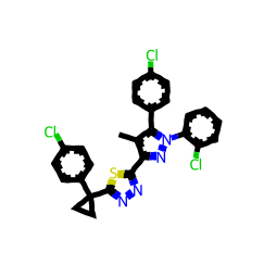 Cc1c(-c2nnc(C3(c4ccc(Cl)cc4)CC3)s2)nn(-c2ccccc2Cl)c1-c1ccc(Cl)cc1